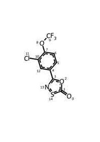 O=c1oc(-c2ccc(OC(F)(F)F)c(Cl)c2)ns1